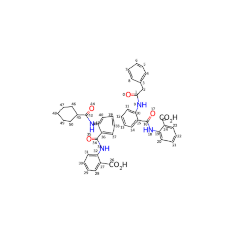 O=C(Cc1ccccc1)Nc1ccccc1C(=O)Nc1ccccc1C(=O)O.O=C(O)c1ccccc1NC(=O)c1ccccc1NC(=O)C1CCCCC1